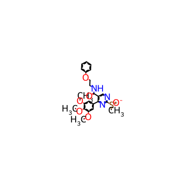 COc1cc(-c2nc([S+](C)[O-])ncc2C(=O)NCCOc2ccccc2)cc(OC)c1OC